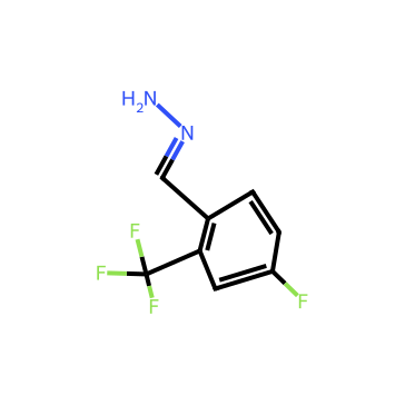 NN=Cc1ccc(F)cc1C(F)(F)F